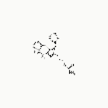 CC(C)c1nc(CCCOC(N)=O)n(Cc2ccccc2)c1Cc1ccccc1